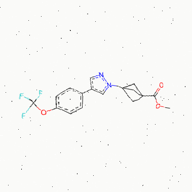 COC(=O)C12CC(n3cc(-c4ccc(OC(F)(F)F)cc4)cn3)(C1)C2